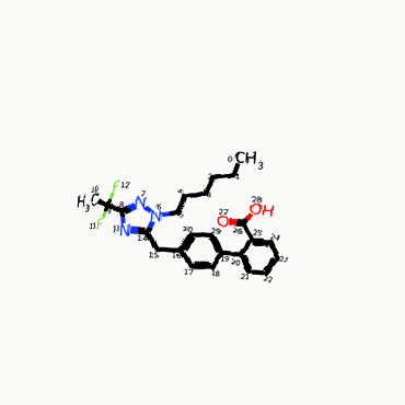 CCCCCCn1nc(C(C)(F)F)nc1Cc1ccc(-c2ccccc2C(=O)O)cc1